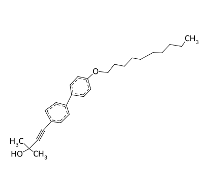 CCCCCCCCCCOc1ccc(-c2ccc(C#CC(C)(C)O)cc2)cc1